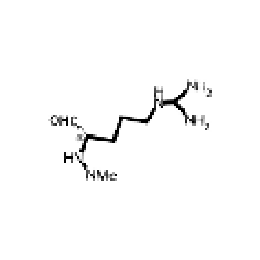 CNN[C@H](C=O)CCCNC(N)N